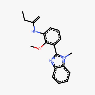 C=C(CC)Nc1cccc(-c2nc3ccccc3n2C)c1OC